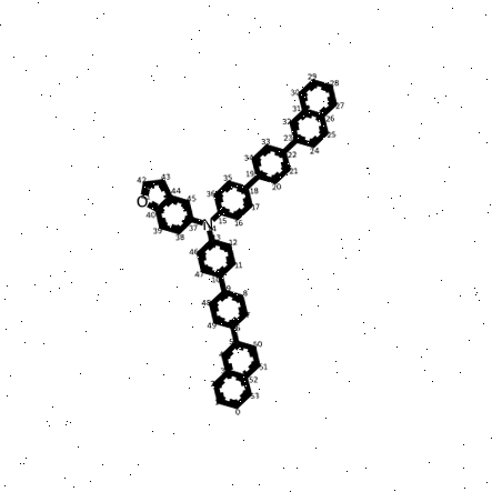 c1ccc2cc(-c3ccc(-c4ccc(N(c5ccc(-c6ccc(-c7ccc8ccccc8c7)cc6)cc5)c5ccc6occc6c5)cc4)cc3)ccc2c1